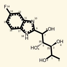 CC(O)[C@H](O)[C@H](O)C(O)c1nc2cc(F)ccc2[nH]1